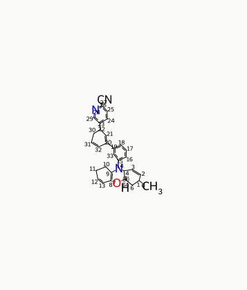 CC1C=CC2[C@@H](C1)OC1=C(CCC=C1)N2c1cccc(C2=CC(c3ccc(C#N)nc3)CC=C2)c1